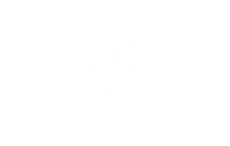 CC(C)n1cc(-c2nc(C(=O)O)c(N)nc2-c2ccc(Cl)cc2)ccc1=O